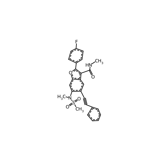 CNC(=O)c1c(-c2ccc(F)cc2)oc2cc(N(C)S(C)(=O)=O)c(C#Cc3ccccc3)cc12